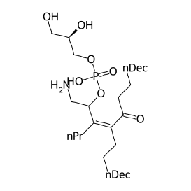 CCCCCCCCCCCCC(=O)C(CCCCCCCCCCCC)=C(CCC)C(CN)OP(=O)(O)OC[C@H](O)CO